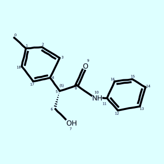 Cc1ccc([C@@H](CO)C(=O)Nc2ccccc2)cc1